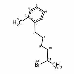 [CH2]c1ccccc1CCCCC(C)Br